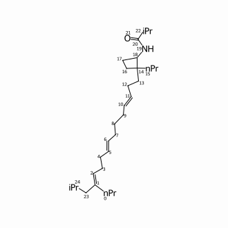 CCC/C(=C\CC/C=C/CCC/C=C/CCC1(CCC)CCC1NC(=O)C(C)C)CC(C)C